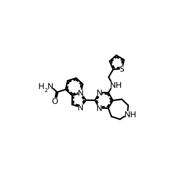 NC(=O)c1cccn2c(-c3nc4c(c(NCc5cccs5)n3)CCNCC4)ncc12